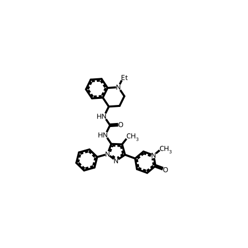 CCN1CCC(NC(=O)Nc2c(C)c(-c3ccc(=O)n(C)c3)nn2-c2ccccc2)c2ccccc21